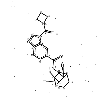 C[C@H]1[C@H](NC(=O)c2cc3c(C(=O)N4CCC4)coc3cn2)C2CCN1CC2